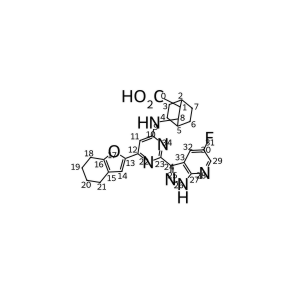 O=C(O)C1C2CCC(CC2)C1Nc1cc(-c2cc3c(o2)CCCC3)nc(-c2n[nH]c3ncc(F)cc23)n1